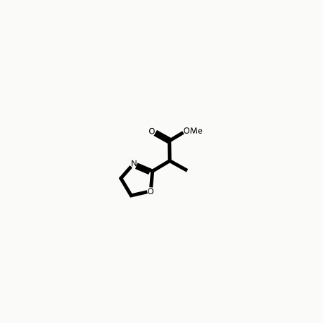 COC(=O)C(C)C1=NCCO1